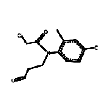 Cc1cc(Cl)ccc1N(CCC=O)C(=O)CCl